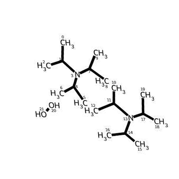 CC(C)N(C(C)C)C(C)C.CC(C)N(C(C)C)C(C)C.OO